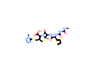 CNC(=O)NC(=O)NC(C(=O)NC1C(=O)N2C(C(=O)O)=C(CSc3nnnn3C)CS[C@@H]12)c1cccs1